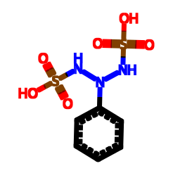 O=S(=O)(O)NN(NS(=O)(=O)O)c1ccccc1